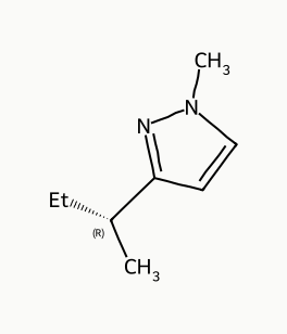 CC[C@@H](C)c1ccn(C)n1